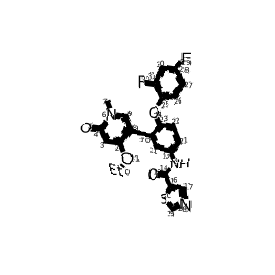 CCOc1cc(=O)n(C)cc1-c1cc(NC(=O)c2cncs2)ccc1Oc1ccc(F)cc1F